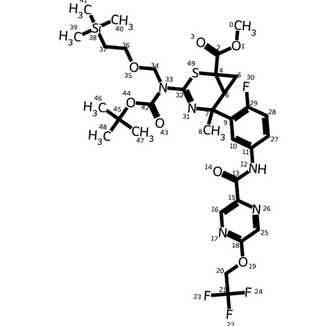 COC(=O)C12CC1C(C)(c1cc(NC(=O)c3cnc(OCC(F)(F)F)cn3)ccc1F)N=C(N(COCC[Si](C)(C)C)C(=O)OC(C)(C)C)S2